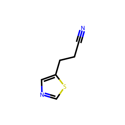 N#CCCc1cncs1